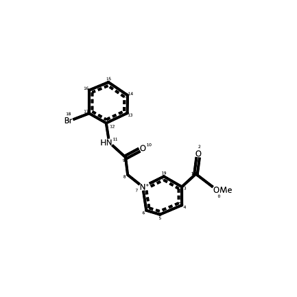 COC(=O)c1ccc[n+](CC(=O)Nc2ccccc2Br)c1